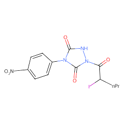 CCCC(I)C(=O)n1[nH]c(=O)n(-c2ccc([N+](=O)[O-])cc2)c1=O